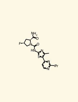 Cc1nc(NC(=O)N2C[C@@H](F)C[C@H]2C(N)=O)sc1-c1ccnc(C(C)C)n1